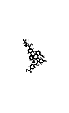 N#Cc1cccc(C#N)c1-c1c(-c2cccc(-c3ccc(C(=O)NCC(=O)O)cc3Cl)c2)n(S(=O)(=O)c2ccc(C(F)F)cc2)c2ccc(F)cc12